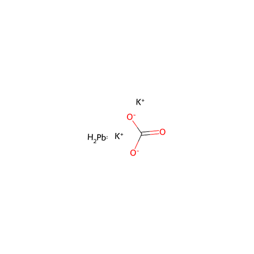 O=C([O-])[O-].[K+].[K+].[PbH2]